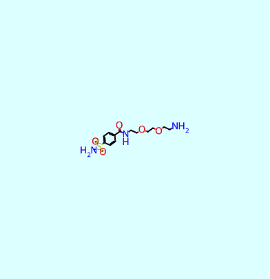 NCCOCCOCCNC(=O)c1ccc(S(N)(=O)=O)cc1